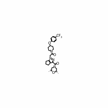 C[C@@H]1CN(C(=O)c2nn(CC(=O)N3CCC(Oc4ccc(C(F)(F)F)cc4)CC3)c3c2CCC3)C[C@H](C)O1